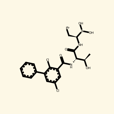 CC(C)C[C@H](NC(=O)[C@@H](NC(=O)c1cc(Cl)cc(-c2ccccc2)c1Cl)[C@@H](C)O)B(O)O